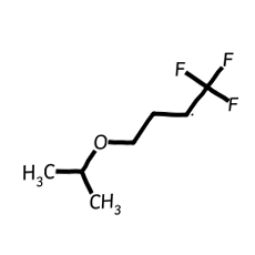 CC(C)OCC[CH]C(F)(F)F